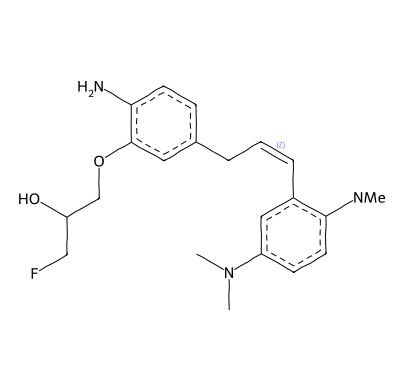 CNc1ccc(N(C)C)cc1/C=C\Cc1ccc(N)c(OCC(O)CF)c1